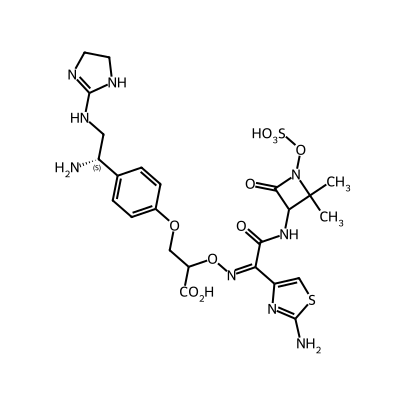 CC1(C)C(NC(=O)C(=NOC(COc2ccc([C@H](N)CNC3=NCCN3)cc2)C(=O)O)c2csc(N)n2)C(=O)N1OS(=O)(=O)O